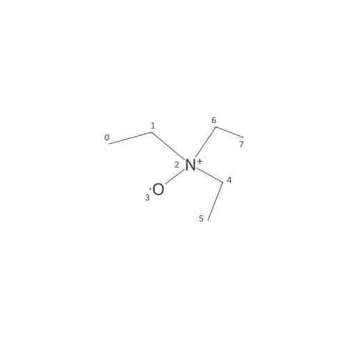 CC[N+]([O])(CC)CC